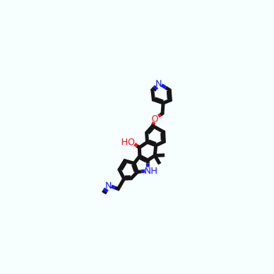 C=NCc1ccc2c3c([nH]c2c1)C(C)(C)c1ccc(OCc2ccncc2)cc1C3O